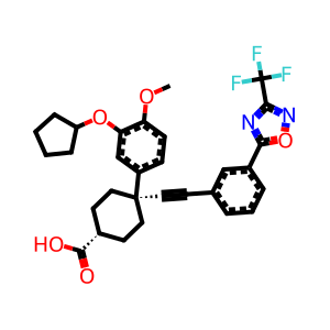 COc1ccc([C@]2(C#Cc3cccc(-c4nc(C(F)(F)F)no4)c3)CC[C@@H](C(=O)O)CC2)cc1OC1CCCC1